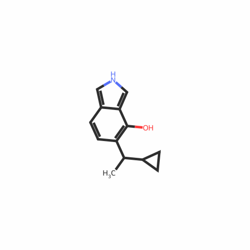 CC(c1ccc2c[nH]cc2c1O)C1CC1